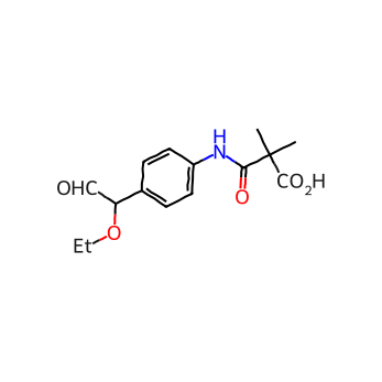 CCOC(C=O)c1ccc(NC(=O)C(C)(C)C(=O)O)cc1